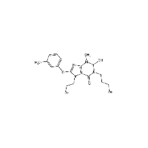 Cc1cccc(Oc2nc3c(n2CCC(C)C)C(=O)N(CCCO)C(O)N3C)c1